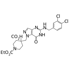 CCOC(=O)N1CCC(Cn2ncc3nc(NCc4ccc(Cl)c(Cl)c4)[nH]c(=O)c32)(C(=O)O)CC1